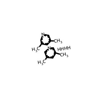 Cc1cncc(C)c1.Cc1cncc(C)c1.[HH].[HH]